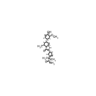 COc1cc(-c2cc(C)c3c(n2)CN(c2cnn(C(C)(C)C(N)=O)c2)C3=O)cnc1O